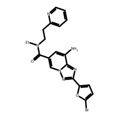 CCN(CCc1ccccn1)C(=O)c1cc(N)c2nc(-c3ccc(Br)o3)nn2c1